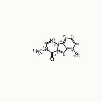 Cn1cnn2c(cc3c(Br)cccc32)c1=O